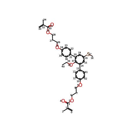 C=C(C)C(=O)OCCCOc1ccc(-c2cc(SC)cc(-c3ccc(OCCCOC(=O)C(=C)C)cc3)c2OCC)cc1